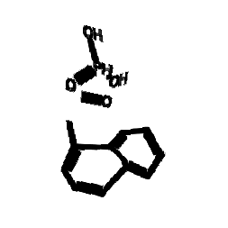 C=O.Cc1cccc2ccccc12.O=[PH](O)O